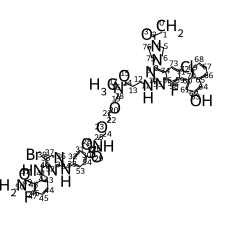 C=CC(=O)N1CCN(c2nc(NCCC(=O)N(C)CCOCCOCCNS(=O)(=O)c3ccc(Nc4ncc(Br)c(Nc5cccc(F)c5C(N)=O)n4)cc3)nc3c(F)c(-c4cc(O)cc5ccccc45)c(Cl)cc23)CC1